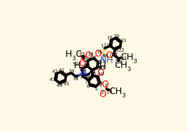 CC(=O)Oc1ccc2c3c1O[C@H]1[C@@H](NS(=O)(=O)Cc4ccccc4CC(C)C)CC[C@@]4(OC(C)=O)[C@@H](C2)N(CCc2ccccc2)CC[C@]314